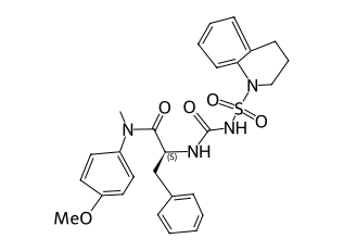 COc1ccc(N(C)C(=O)[C@H](Cc2ccccc2)NC(=O)NS(=O)(=O)N2CCCc3ccccc32)cc1